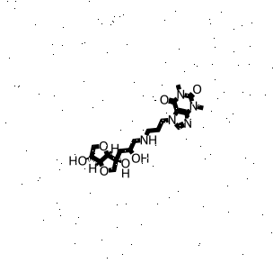 Cn1c(=O)c2c(ncn2CCCNCC(O)C[C@]2(O)CO[C@@H]3[C@H](O)CO[C@@H]32)n(C)c1=O